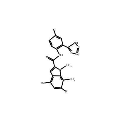 Cn1c(C(=O)Nc2ccc(Cl)cc2-c2nnn[nH]2)cc2c(Br)cc(Br)c(N)c21